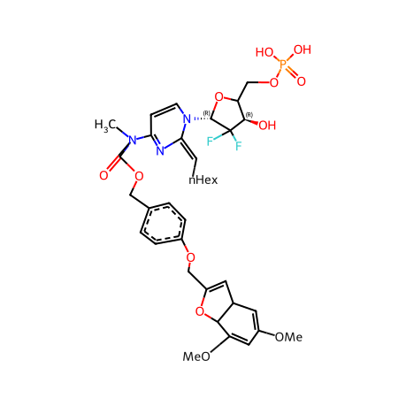 CCCCCCC=C1N=C(N(C)C(=O)OCc2ccc(OCC3=CC4C=C(OC)C=C(OC)C4O3)cc2)C=CN1[C@@H]1OC(COP(=O)(O)O)[C@@H](O)C1(F)F